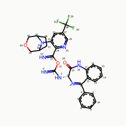 N=C(N[C@H]1N=C(c2ccccc2)c2ccccc2NC1=O)OC(=N)c1ncc(C(F)(F)F)cc1N1C2CCC1COC2